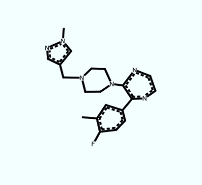 Cc1cc(-c2nccnc2N2CCN(Cc3cnn(C)c3)CC2)ccc1F